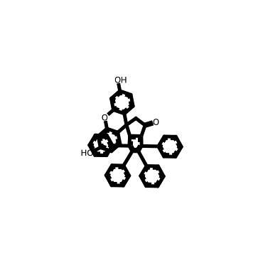 O=C1CC2(c3ccc(O)cc3Oc3cc(O)ccc32)c2c1c(-c1ccccc1)c(-c1ccccc1)c(-c1ccccc1)c2-c1ccccc1